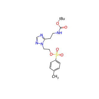 Cc1ccc(S(=O)(=O)OCCn2ncnc2CCNC(=O)OC(C)(C)C)cc1